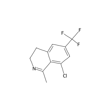 CC1=NCCc2cc(C(F)(F)F)cc(Cl)c21